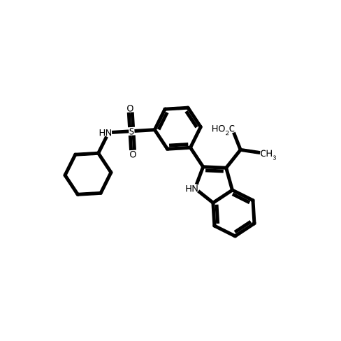 CC(C(=O)O)c1c(-c2cccc(S(=O)(=O)NC3CCCCC3)c2)[nH]c2ccccc12